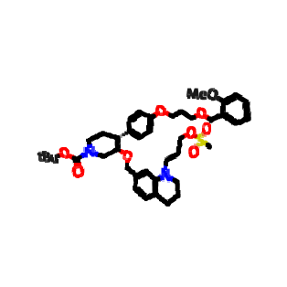 COc1ccccc1COCCCOc1ccc([C@H]2CCN(C(=O)OC(C)(C)C)C[C@@H]2OCc2ccc3c(c2)N(CCCOS(C)(=O)=O)CCC3)cc1